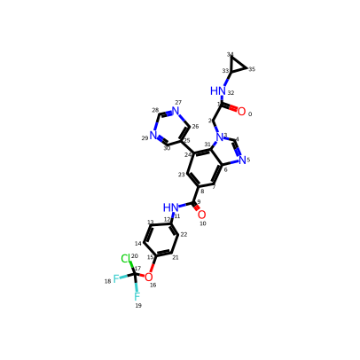 O=C(Cn1cnc2cc(C(=O)Nc3ccc(OC(F)(F)Cl)cc3)cc(-c3cncnc3)c21)NC1CC1